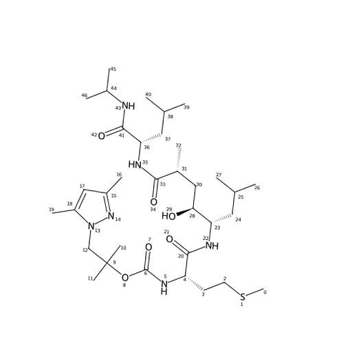 CSCC[C@H](NC(=O)OC(C)(C)Cn1nc(C)cc1C)C(=O)N[C@@H](CC(C)C)[C@@H](O)C[C@@H](C)C(=O)N[C@@H](CC(C)C)C(=O)NC(C)C